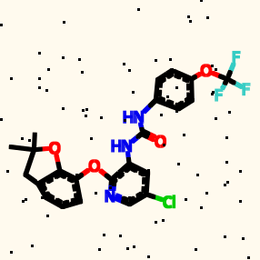 CC1(C)Cc2cccc(Oc3ncc(Cl)cc3NC(=O)Nc3ccc(OC(F)(F)F)cc3)c2O1